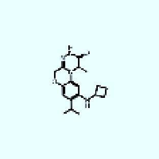 CC(C)c1cc2c(cc1NC1CCC1)N1C(=NNC(=O)[C@H]1C)CO2